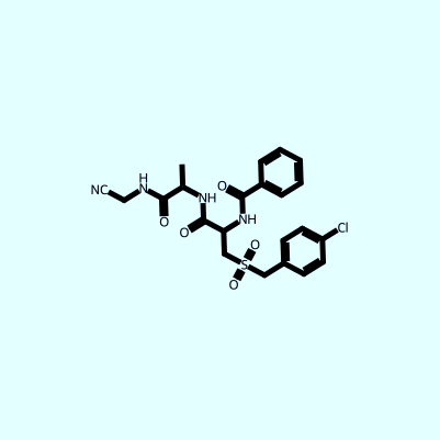 CC(NC(=O)C(CS(=O)(=O)Cc1ccc(Cl)cc1)NC(=O)c1ccccc1)C(=O)NCC#N